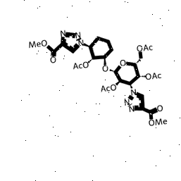 COC(=O)c1cn([C@H]2[C@@H](OC(C)=O)[C@@H](COC(C)=O)O[C@@H](O[C@@H]3CCC[C@H](n4cc(C(=O)OC)nn4)[C@H]3OC(C)=O)[C@@H]2OC(C)=O)nn1